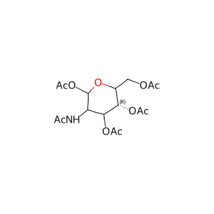 CC(=O)NC1C(OC(C)=O)OC(COC(C)=O)[C@H](OC(C)=O)C1OC(C)=O